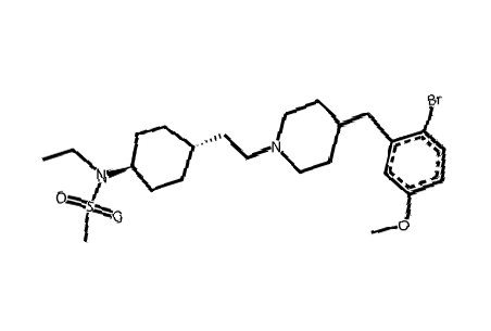 CCN([C@H]1CC[C@H](CCN2CCC(Cc3cc(OC)ccc3Br)CC2)CC1)S(C)(=O)=O